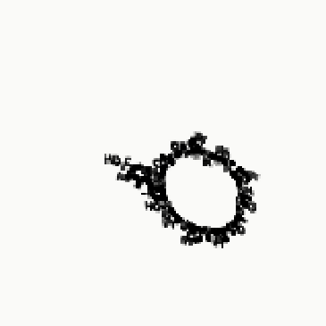 CC[C@@H]1NC(=O)C([C@H](O)[C@H](C)CC(O)C(C)N(C(C)=O)C(C)C(=O)O)N(C)C(=O)C(C(C)C)N(C)C(=O)[C@H](CC(C)C)N(C)C(=O)[C@H](CC(C)C)N(C)C(=O)[C@H](C)NC(=O)[C@H](C)NC(=O)[C@H](CC(C)C)N(C)C(=O)[C@H](C(C)C)NC(=O)[C@H](CC(C)C)N(C)C(=O)CN(C)C1=O